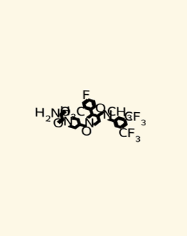 Cc1cc(F)ccc1C1CN(C(=O)C2CCN(C(=O)C(N)=O)CC2)CCC1C(=O)N(C)Cc1cc(C(F)(F)F)cc(C(F)(F)F)c1